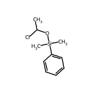 CC(Cl)O[Si](C)(C)c1ccccc1